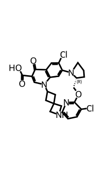 O=C(O)c1cn(C2CC3(CNC3)C2)c2cc(N3CCC[C@@H]3COc3ncccc3Cl)c(Cl)cc2c1=O